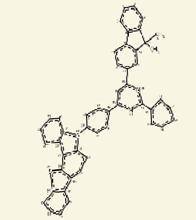 CC1(C)c2ccccc2-c2ccc(-c3cc(-c4ccc(-n5c6ccccc6c6c7sc8ccccc8c7ccc65)cc4)nc(-c4ccccc4)n3)cc21